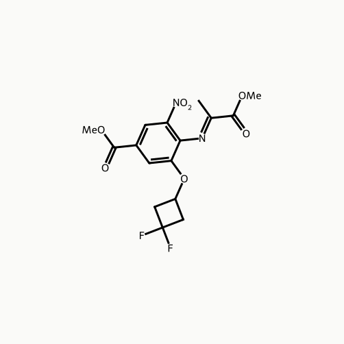 COC(=O)C(C)=Nc1c(OC2CC(F)(F)C2)cc(C(=O)OC)cc1[N+](=O)[O-]